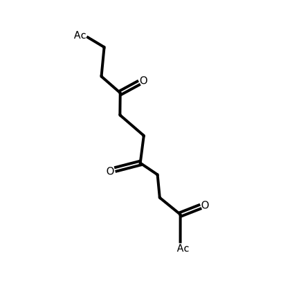 CC(=O)CCC(=O)CCC(=O)CCC(=O)C(C)=O